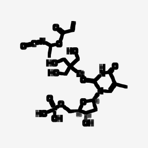 C=CC(=O)OC(C)N=C=O.CCC(CO)(CO)CO.Cc1cn([C@H]2C[C@H](O)[C@@H](COP(=O)(O)O)O2)c(=O)[nH]c1=O